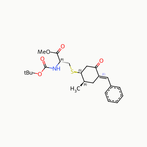 COC(=O)[C@H](CS[C@H]1CC(=O)/C(=C/c2ccccc2)C[C@H]1C)NC(=O)OC(C)(C)C